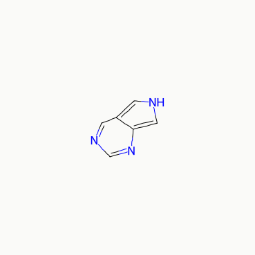 c1ncc2c[nH]cc2n1